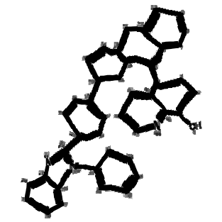 Oc1ccc(-c2c3ccccc3cc3ccc(-c4ccc(-c5nc6ccccc6n5-c5ccccc5)cc4)cc23)c2cccnc12